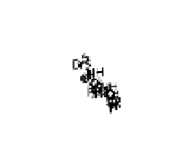 CCC(Br)CCNC(=O)c1ccc2c(Nc3ccc(OC(F)(F)F)cc3)ncnc2c1